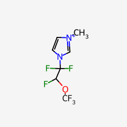 C[n+]1ccn(C(F)(F)C(F)OC(F)(F)F)c1